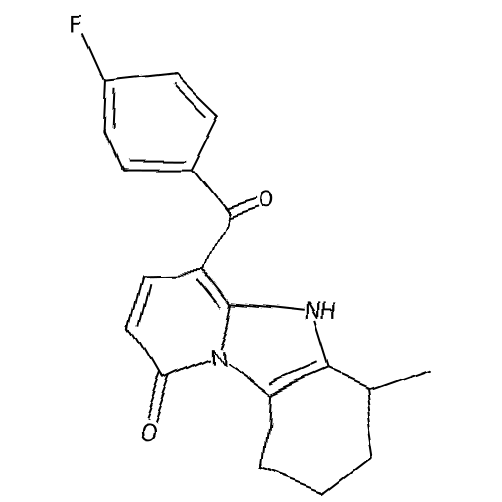 CC1CCCc2c1[nH]c1c(C(=O)c3ccc(F)cc3)ccc(=O)n21